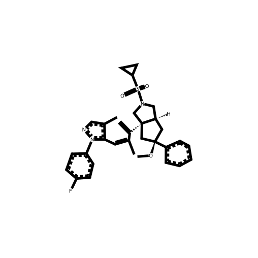 C=C(/C(C)=C\c1c(C)cnn1-c1ccc(F)cc1)[C@]12CN(S(=O)(=O)C3CC3)C[C@H]1C[C@](OC)(c1ccccc1)C2